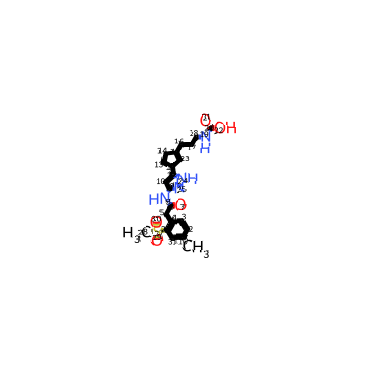 Cc1ccc(CC(=O)Nc2cc(C3CCC(CCCNC(=O)O)C3)[nH]n2)c(S(C)(=O)=O)c1